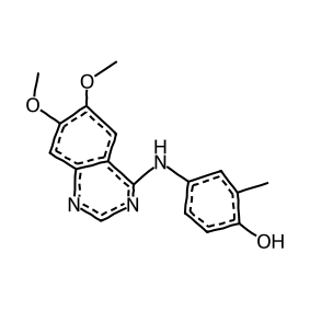 COc1cc2ncnc(Nc3ccc(O)c(C)c3)c2cc1OC